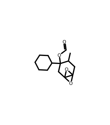 CC1CC23OC2(CC1(OC=O)C1CCCCC1)O3